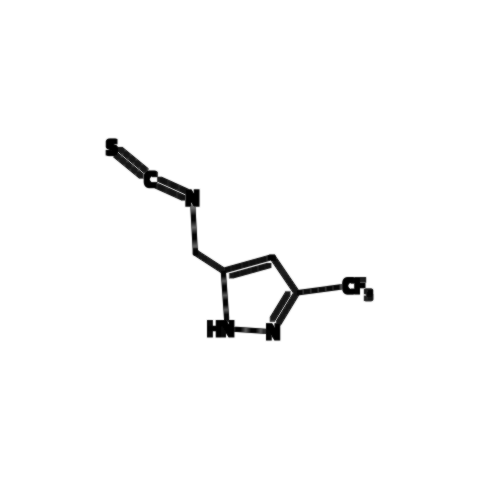 FC(F)(F)c1cc(CN=C=S)[nH]n1